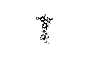 Cc1nc(-c2c(F)cc(Cl)cc2-c2cnc(CNC(=O)NNC(=O)C(F)(F)F)c(F)c2)no1